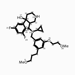 COCCCc1cc(CN(C(=O)C2CNCCC2(O)c2cc(F)cc(F)c2)C2CC2)cc(OCCOC)c1